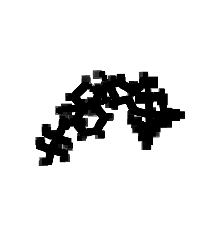 [2H]C([2H])([2H])C(O)(CCC[C@](C)(CCO)[C@H]1CC[C@H]2[C@@H](O[Si](C)(C)C(C)(C)C)CCC[C@]12C)C([2H])([2H])[2H]